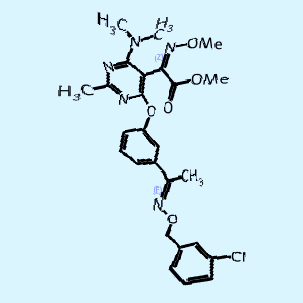 CO/N=C(\C(=O)OC)c1c(Oc2cccc(/C(C)=N/OCc3cccc(Cl)c3)c2)nc(C)nc1N(C)C